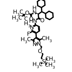 Cc1nn(COCC[Si](C)(C)C)c(C)c1-c1ccc(NC(=O)[C@@H](NC(=O)OC(C)(C)C)C(C2CCCCC2)C2CCCCC2)nc1F